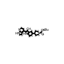 Cc1c(-c2ccnc3[nH]ccc23)[nH]c2ccc(C3CCN(C(=O)OC(C)(C)C)CC3)cc12